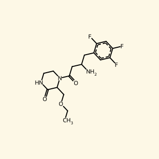 CCOCC1C(=O)NCCN1C(=O)CC(N)Cc1cc(F)c(F)cc1F